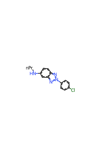 CCCNc1ccc2nn(-c3ccc(Cl)cc3)nc2c1